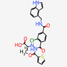 C[C@H](NN(C(=O)c1cccs1)C(=O)c1ccc(C(=O)NCc2cccc3[nH]ccc23)cc1Cl)C(=O)O